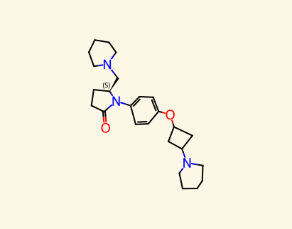 O=C1CC[C@@H](CN2CCCCC2)N1c1ccc(OC2CC(N3CCCCC3)C2)cc1